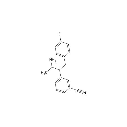 CC(N)C(Cc1ccc(F)cc1)c1cccc(C#N)c1